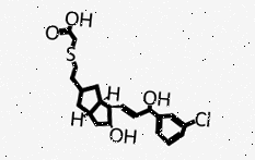 O=C(O)CSCCC1C[C@H]2C[C@@H](O)[C@H](C=CC(O)c3cccc(Cl)c3)[C@@H]2C1